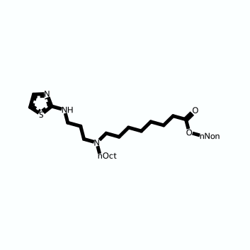 CCCCCCCCCOC(=O)CCCCCCCN(CCCCCCCC)CCCNc1nccs1